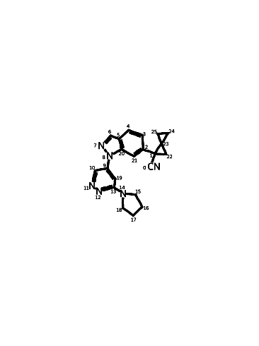 N#CC1(c2ccc3cnn(-c4cnnc(N5CCCC5)c4)c3c2)CC12CC2